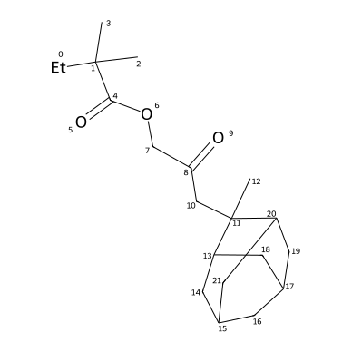 CCC(C)(C)C(=O)OCC(=O)CC1(C)C2CC3CC(C2)CC1C3